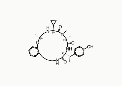 CC(c1ccc(O)cc1)[C@H]1NC(=O)[C@@H](C)N(C)C(=O)[C@H](C2CC2)NC[C@@H](C)Oc2ccccc2CCCNC1=O